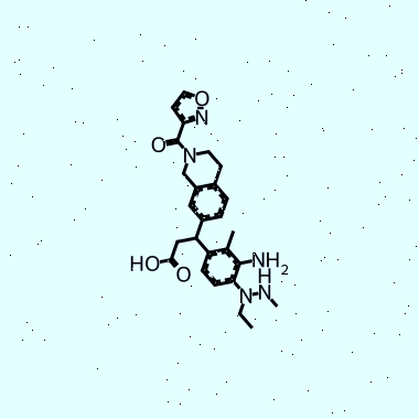 CCN(NC)c1ccc(C(CC(=O)O)c2ccc3c(c2)CN(C(=O)c2ccon2)CC3)c(C)c1N